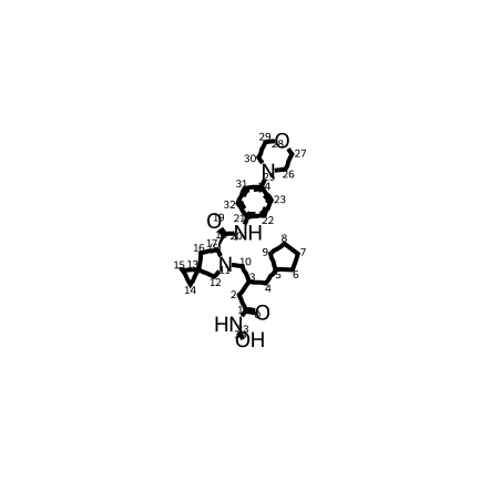 O=C(CC(CC1CCCC1)CN1CC2(CC2)C[C@H]1C(=O)Nc1ccc(N2CCOCC2)cc1)NO